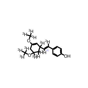 [2H]/C(=C(/[2H])C1([2H])C=C(OC([2H])([2H])[2H])CC([2H])(OC([2H])([2H])[2H])C1([2H])[2H])c1ccc(O)cc1